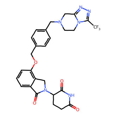 O=C1CCC(N2Cc3c(OCc4ccc(CN5CCn6c(nnc6C(F)(F)F)C5)cc4)cccc3C2=O)C(=O)N1